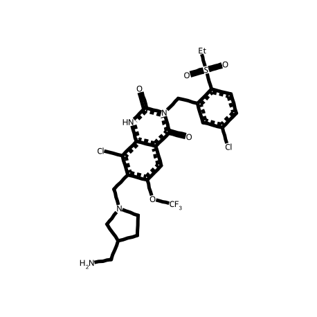 CCS(=O)(=O)c1ccc(Cl)cc1Cn1c(=O)[nH]c2c(Cl)c(CN3CCC(CN)C3)c(OC(F)(F)F)cc2c1=O